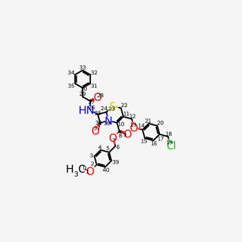 COc1ccc(COC(=O)C2=C(COc3ccc(CCl)cc3)CSC3C(NC(=O)Cc4ccccc4)C(=O)N23)cc1